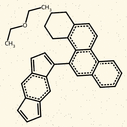 C1=Cc2cc3c(cc2=C1)C(c1cc2ccccc2c2ccc4c(c12)CCCC4)=CC=3.CCOCC